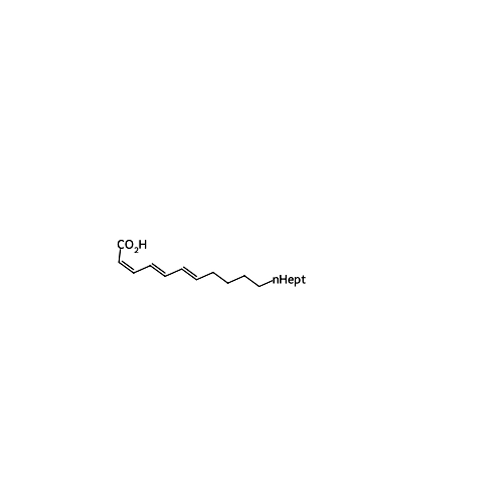 CCCCCCCCCCCC=C/C=C/C=C\C(=O)O